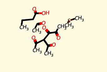 CC(=O)C(=O)C(C(C)=O)C(C)=O.CC=O.CCCC(=O)O.CSC